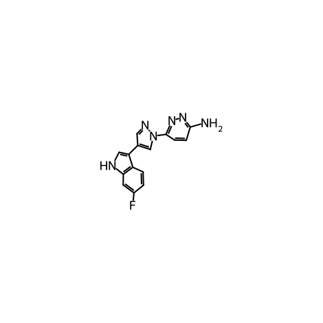 Nc1ccc(-n2cc(-c3c[nH]c4cc(F)ccc34)cn2)nn1